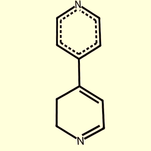 C1=NCCC(c2ccncc2)=C1